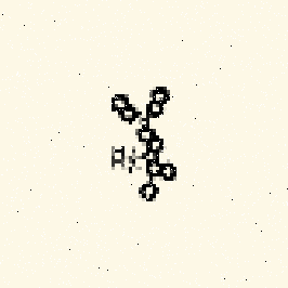 CC1(C)c2cc(C3CCCCC3)c3ccccc3c2-c2ccc3cc(N(c4ccc5ccccc5c4)c4ccc5ccccc5c4)ccc3c21